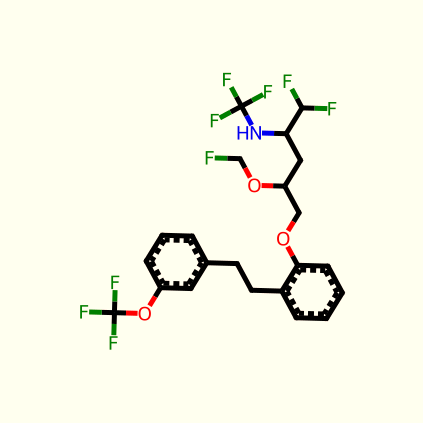 FCOC(COc1ccccc1CCc1cccc(OC(F)(F)F)c1)CC(NC(F)(F)F)C(F)F